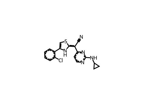 N#CC(=C1NC(c2ccccc2Cl)=CS1)c1ccnc(NC2CC2)n1